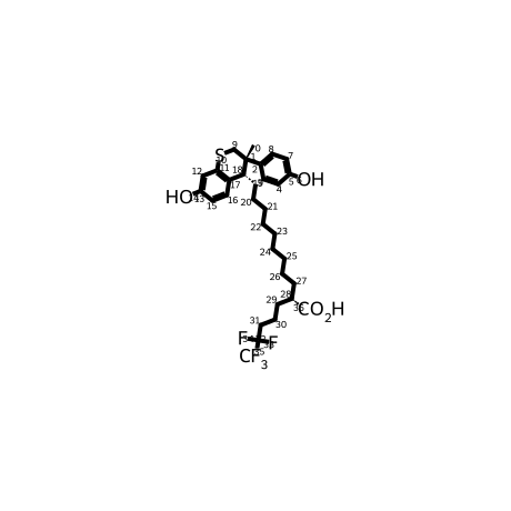 C[C@]1(c2ccc(O)cc2)CSc2cc(O)ccc2[C@H]1CCCCCCCCC[C@@H](CCCC(F)(F)C(F)(F)F)C(=O)O